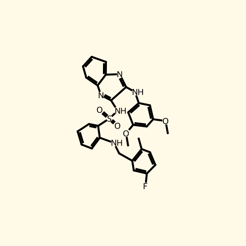 COc1cc(Nc2nc3ccccc3nc2NS(=O)(=O)c2ccccc2NCc2cc(F)ccc2C)cc(OC)c1